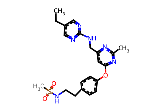 CCc1cnc(NCc2cc(Oc3ccc(CCNS(C)(=O)=O)cc3)nc(C)n2)nc1